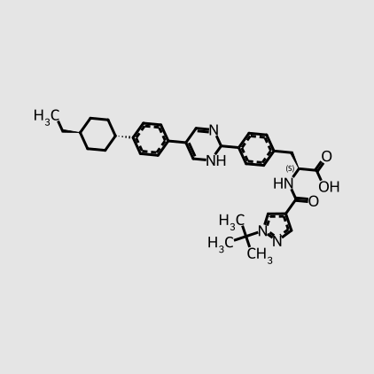 CC[C@H]1CC[C@H](c2ccc(C3=CNC(c4ccc(C[C@H](NC(=O)c5cnn(C(C)(C)C)c5)C(=O)O)cc4)N=C3)cc2)CC1